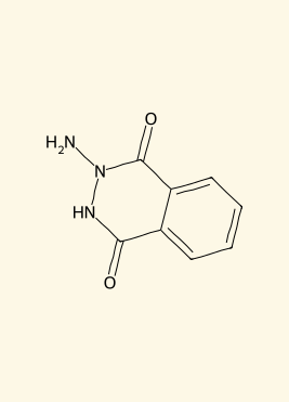 Nn1[nH]c(=O)c2ccccc2c1=O